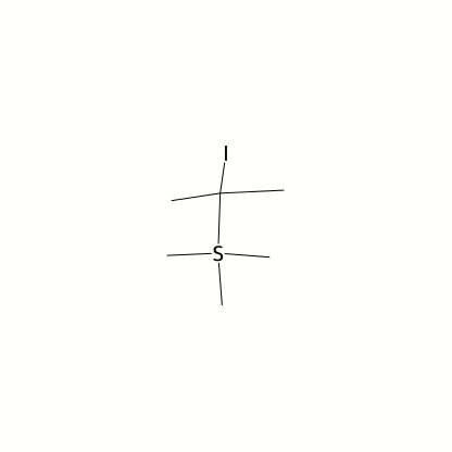 CC(C)(I)S(C)(C)C